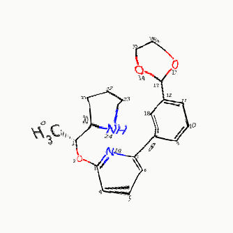 C[C@@H](Oc1cccc(-c2cccc(C3OCCO3)c2)n1)C1CCCN1